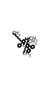 CCCCCCCCc1cc(N=C(CC)C(C)=Cc2cc(CCCC)c(-c3ccccc3)c(-c3ccccc3)c2)cc(C)c1-c1ccccc1